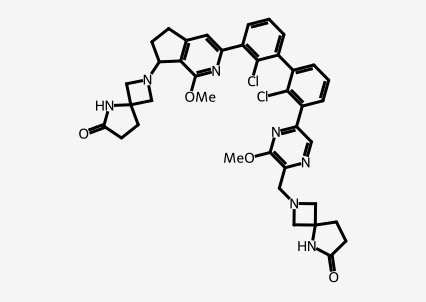 COc1nc(-c2cccc(-c3cccc(-c4cc5c(c(OC)n4)C(N4CC6(CCC(=O)N6)C4)CC5)c3Cl)c2Cl)cnc1CN1CC2(CCC(=O)N2)C1